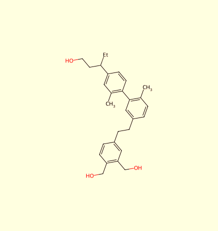 CCC(CCO)c1ccc(-c2cc(CCc3ccc(CO)c(CO)c3)ccc2C)c(C)c1